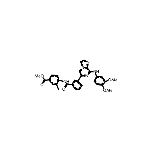 COC(=O)c1ccc(NC(=O)c2cccc(-c3cn4ccnc4c(Nc4ccc(OC)c(OC)c4)n3)c2)c(C)c1